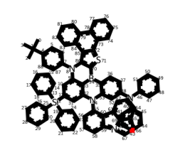 CC(C)(C)c1ccc(N2c3cc([Si](c4ccccc4)(c4ccccc4)c4ccccc4)cc4c3B(c3ccc(N(c5ccccc5)c5ccccc5)cc3N4c3cccc4c3c3cccc5ccn4c53)c3sc4c5ccccc5c5ccccc5c4c32)cc1